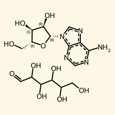 Nc1ncnc2c1ncn2[C@@H]1O[C@H](CO)[C@@H](O)[C@H]1O.O=CC(O)C(O)C(O)C(O)CO